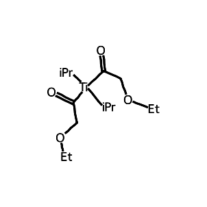 CCOC[C](=O)[Ti]([C](=O)COCC)([CH](C)C)[CH](C)C